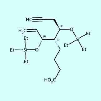 C#CC[C@@H](O[Si](CC)(CC)CC)[C@H](CCCC(=O)O)[C@@H](C=C)O[Si](CC)(CC)CC